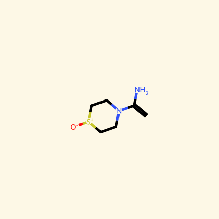 C=C(N)N1CC[S+]([O-])CC1